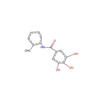 O=Cc1ccccc1NC(=O)c1cc(O)c(O)c(O)c1